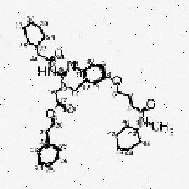 CN(C(=O)CCCOc1ccc2c(c1)CN(CC(=O)OCCc1ccccc1)C(NC(=O)CC1CCCCC1)=N2)C1CCCCC1